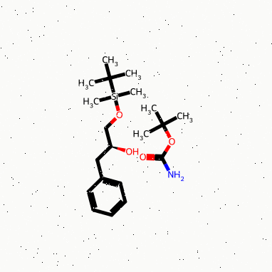 CC(C)(C)OC(N)=O.CC(C)(C)[Si](C)(C)OC[C@@H](O)Cc1ccccc1